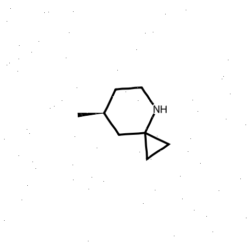 C[C@H]1CCNC2(CC2)C1